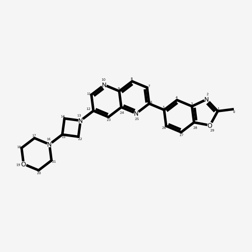 Cc1nc2cc(-c3ccc4ncc(N5CC(N6CCOCC6)C5)cc4n3)ccc2o1